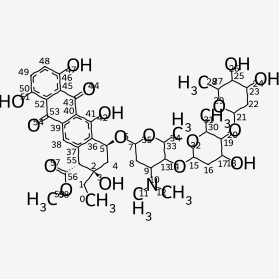 CC[C@@]1(O)C[C@H](OC2CC(N(C)C)C(OC3CC(O)C(OC4CC(O)C(O)C(C)O4)C(C)O3)C(C)O2)c2c(cc3c(c2O)C(=O)c2c(O)ccc(O)c2C3=O)[C@H]1C(=O)OC